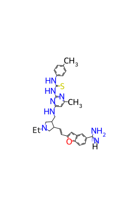 [H]/N=C(/N)c1ccc2oc(C=CC3CN(CC)CC3CNc3cc(C)nc(NC(=S)Nc4ccc(C)cc4)n3)cc2c1